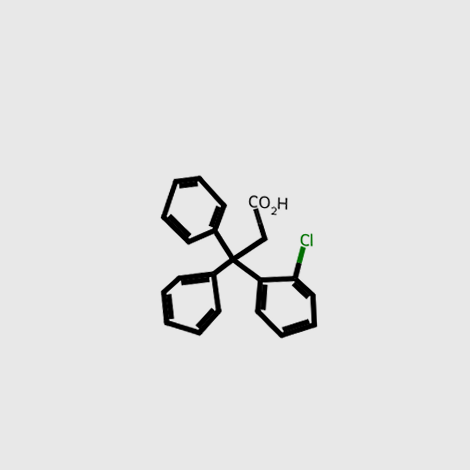 O=C(O)CC(c1ccccc1)(c1ccccc1)c1ccccc1Cl